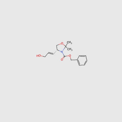 CC1(C)OC[C@@H](/C=C/CO)N1C(=O)OCc1ccccc1